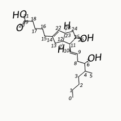 CCCCC(C)C(O)C/C=C/[C@H]1[C@H]2CC(CCCCC(=O)O)=C[C@H]2C[C@H]1O